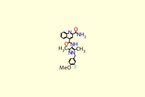 COc1ccc(Cn2nc(C)c(NC(=O)c3cc(C(N)=O)nc4ccccc34)c2C)cc1F